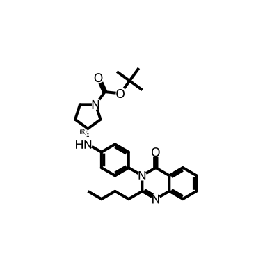 CCCCc1nc2ccccc2c(=O)n1-c1ccc(N[C@@H]2CCN(C(=O)OC(C)(C)C)C2)cc1